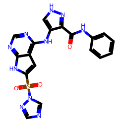 O=C(Nc1ccccc1)c1n[nH]cc1Nc1ncnc2[nH]c(S(=O)(=O)n3cncn3)cc12